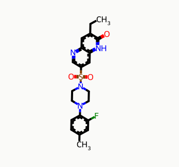 CCc1cc2ncc(S(=O)(=O)N3CCN(c4ccc(C)cc4F)CC3)cc2[nH]c1=O